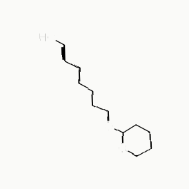 OC=CCCCCCOC1CCCCO1